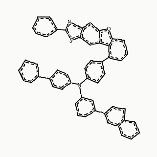 c1ccc(-c2ccc(N(c3ccc(-c4cccc5oc6cc7nc(-c8ccccc8)sc7cc6c45)cc3)c3cccc(-c4ccc5ccccc5c4)c3)cc2)cc1